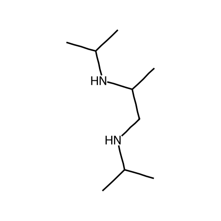 CC(C)NCC(C)NC(C)C